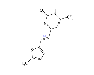 Cc1ccc(/C=C/c2cc(C(F)(F)F)[nH]c(=O)n2)s1